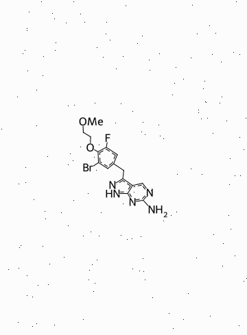 COCCOc1c(F)cc(Cc2n[nH]c3nc(N)ncc23)cc1Br